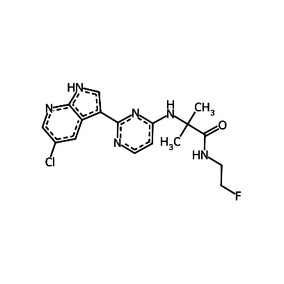 CC(C)(Nc1ccnc(-c2c[nH]c3ncc(Cl)cc23)n1)C(=O)NCCF